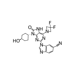 N#Cc1ccc2ncn(-c3nc(N4CC(F)(F)C4)c4[nH]c(=O)n([C@H]5CC[C@H](O)CC5)c4n3)c2c1